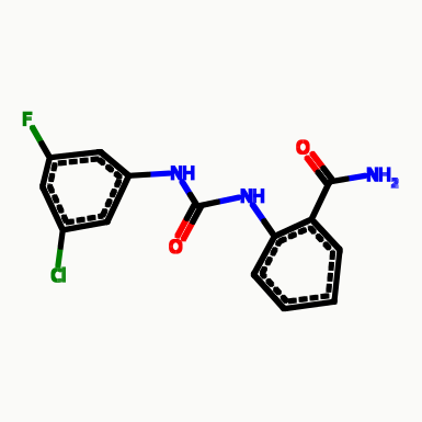 NC(=O)c1ccccc1NC(=O)Nc1cc(F)cc(Cl)c1